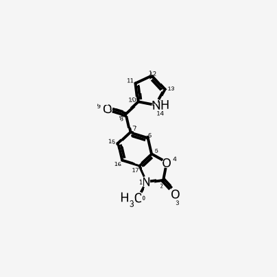 Cn1c(=O)oc2cc(C(=O)c3ccc[nH]3)ccc21